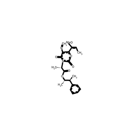 C=Nc1c(/C(=C\C)OC)oc(=O)n([C@@H](C)C(=O)O[C@@H](C)[C@@H](C)c2ccccc2)c1=O